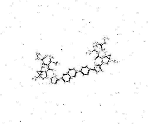 COC(=O)N[C@H](C(=O)N1[C@H]2C[C@@]2(C)C[C@H]1c1ncc(-c2ccc(-c3ccc4cc(-c5cnc([C@@H]6C[C@]7(C)C[C@@H]7N6C(=O)[C@@H](NC(=O)OC)C(C)C)[nH]5)ccc4c3)cc2)[nH]1)C(C)C